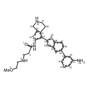 COCCNCCC(=O)Nc1sc2c(c1-c1nc3cc(-c4cncc(N)c4)ccc3s1)CCNC2